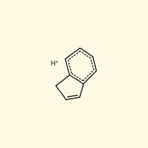 C1=Cc2ccccc2C1.[H+]